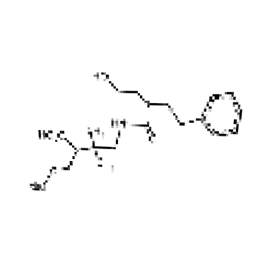 CC(C)(C)OCC(C(=O)O)C(C)(C)CNC(=O)N(CCO)CCc1ccccc1